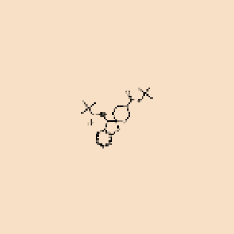 CC(C)(C)OC(=O)N1CCC2(CC1)Cc1ncccc1[C@H]2N[S@@+]([O-])C(C)(C)C